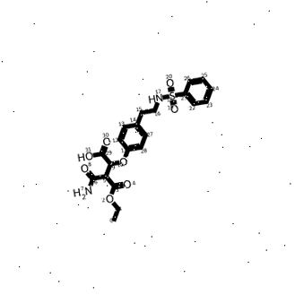 CCOC(=O)C(C(N)=O)C(Oc1ccc(CCNS(=O)(=O)c2ccccc2)cc1)C(=O)O